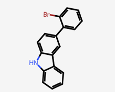 Brc1ccccc1-c1ccc2[nH]c3ccccc3c2c1